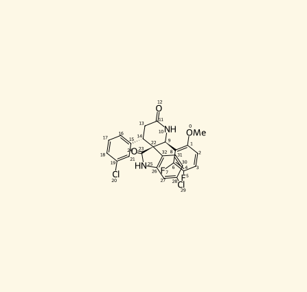 COc1ccc(F)c(F)c1[C@@H]1NC(=O)C[C@@H](c2cccc(Cl)c2)[C@]12C(=O)Nc1cc(Cl)ccc12